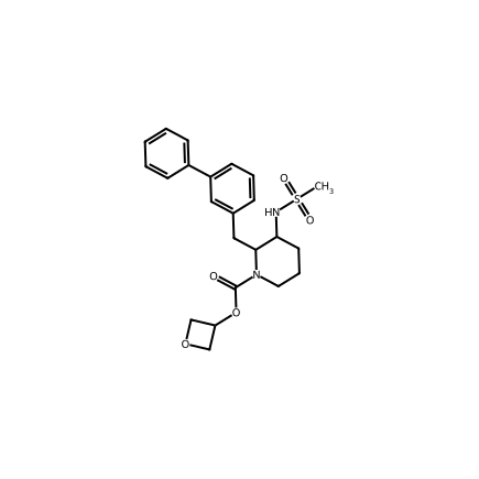 CS(=O)(=O)NC1CCCN(C(=O)OC2COC2)C1Cc1cccc(-c2ccccc2)c1